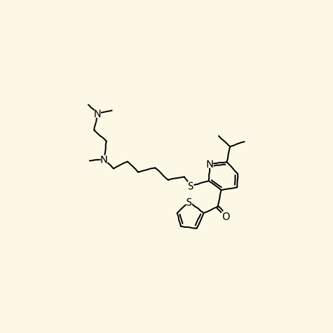 CC(C)c1ccc(C(=O)c2cccs2)c(SCCCCCCN(C)CCN(C)C)n1